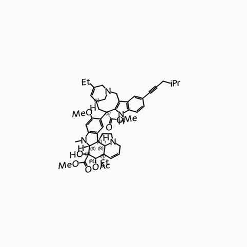 CCC1=C[C@H]2CN(C1)Cc1c([nH]c3ccc(C#CCC(C)C)cc13)[C@@](C(=O)OC)(c1cc3c(cc1OC)N(C)[C@H]1[C@@](O)(C(=O)OC)[C@H](OC(C)=O)[C@]4(CC)C=CCN5CC[C@]31[C@@H]54)C2